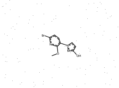 COc1nc(Br)ccc1-n1ccc(O)n1